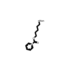 CCCCCCCCCCCCCCOC(=O)[n+]1ccccc1